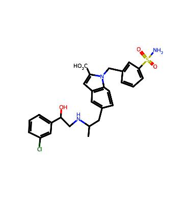 CC(Cc1ccc2c(c1)cc(C(=O)O)n2Cc1cccc(S(N)(=O)=O)c1)NCC(O)c1cccc(Cl)c1